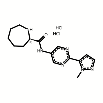 Cl.Cl.Cn1nccc1-c1ncc(NC(=O)[C@H]2CCCCCN2)cn1